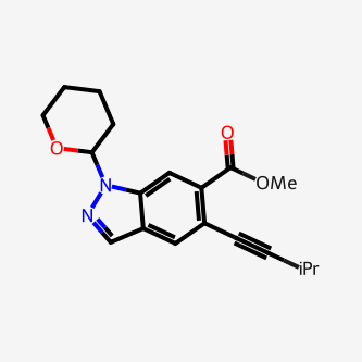 COC(=O)c1cc2c(cnn2C2CCCCO2)cc1C#CC(C)C